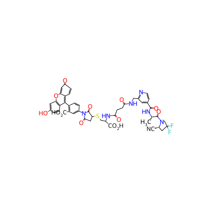 C[C@@H](NC(=O)c1ccnc(CNC(=O)CCC(=O)NC(CSC2CC(=O)N(c3ccc(-c4c5ccc(=O)cc-5oc5cc(O)ccc45)c(C(=O)O)c3)C2=O)C(=O)O)c1)C(=O)N1CC(F)(F)C[C@H]1C#N